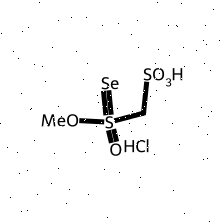 COS(=O)(=[Se])CS(=O)(=O)O.Cl